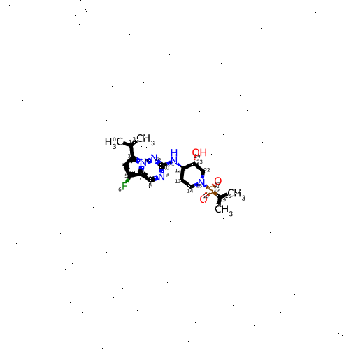 CC(C)c1cc(F)c2cnc(N[C@@H]3CCN(S(=O)(=O)C(C)C)C[C@H]3O)nn12